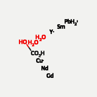 O.O.O=C(O)O.[Cu].[Gd].[Nd].[PbH2].[Sm].[Y]